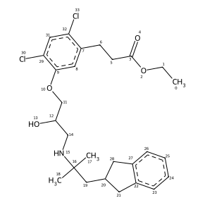 CCOC(=O)CCc1cc(OCC(O)CNC(C)(C)CC2Cc3ccccc3C2)c(Cl)cc1Cl